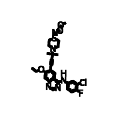 CCOc1cc2ncnc(Nc3ccc(F)c(Cl)c3)c2cc1C#CC(C)(C)N1CCS(=NOOC)CC1